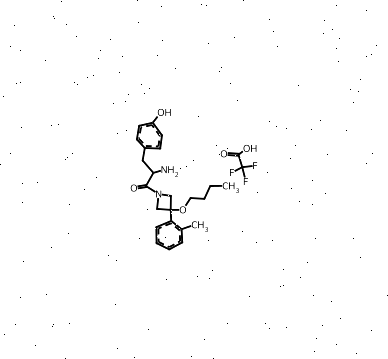 CCCCOC1(c2ccccc2C)CN(C(=O)C(N)Cc2ccc(O)cc2)C1.O=C(O)C(F)(F)F